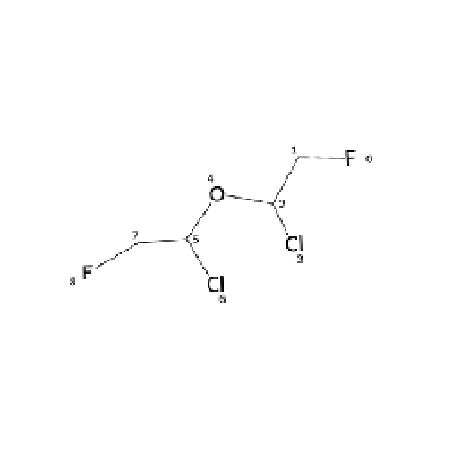 FCC(Cl)OC(Cl)CF